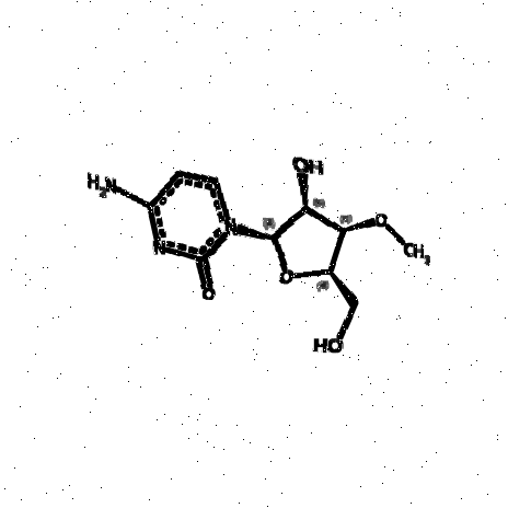 CO[C@@H]1[C@H](O)[C@H](n2ccc(N)nc2=O)O[C@@H]1CO